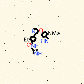 CCc1cc(-c2cc(Oc3ccc(C=N)c(NC)c3)ccn2)ccc1C(=O)NCC1CNC1